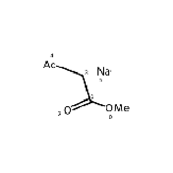 COC(=O)CC(C)=O.[Na]